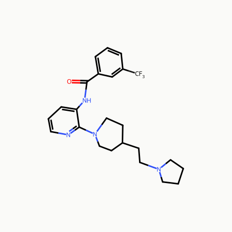 O=C(Nc1cccnc1N1CCC(CCN2CCCC2)CC1)c1cccc(C(F)(F)F)c1